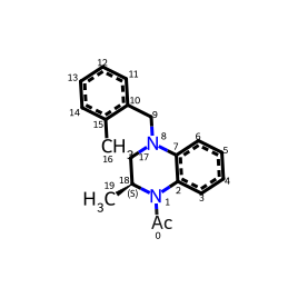 CC(=O)N1c2ccccc2N(Cc2ccccc2C)C[C@@H]1C